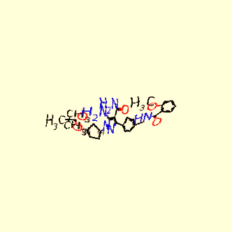 COc1ccccc1C(=O)NCc1ccc(-c2nn([C@H]3CC[C@H](OC(=O)C(C)(C)C)C3)c(N)c2C(N)=O)cc1